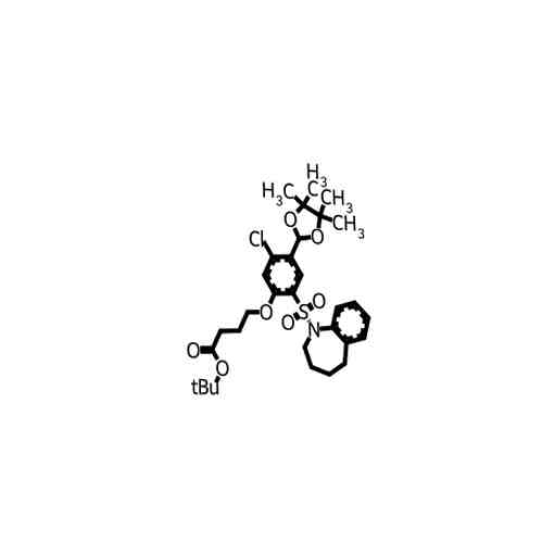 CC(C)(C)OC(=O)CCCOc1cc(Cl)c(C2OC(C)(C)C(C)(C)O2)cc1S(=O)(=O)N1CCCCc2ccccc21